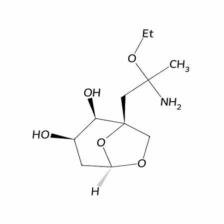 CCOC(C)(N)C[C@]12CO[C@@H](C[C@@H](O)[C@H]1O)O2